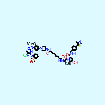 COc1cc(N2CCC(NC(=O)CCCCCCC(=O)NC(C(=O)N3C[C@H](O)C[C@H]3C(=O)NCc3ccc(-c4scnc4C)cc3)C(C)(C)C)CC2)ccc1Nc1ncc(Cl)c(Nc2ccccc2P(C)(C)=O)n1